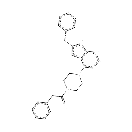 O=C(Cc1ccccc1)N1CCN(c2ncnc3sc(Cc4ccccc4)cc23)CC1